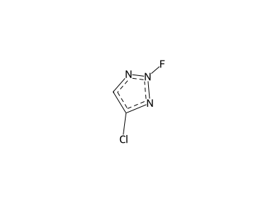 Fn1ncc(Cl)n1